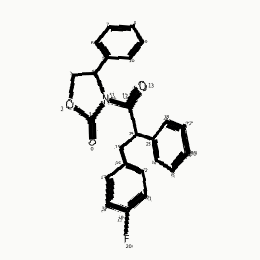 O=C1OCC(c2ccccc2)N1C(=O)C(Cc1ccc(F)cc1)c1ccccc1